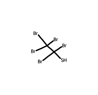 SC(Br)(Br)C(Br)(Br)Br